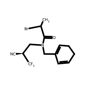 CC(Br)C(=O)N(CC1=CCCC=C1)C[C@H](C#N)C(F)(F)F